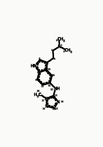 CN(C)CCc1c[nH]c2ccc(Nc3nnnn3C)cc12